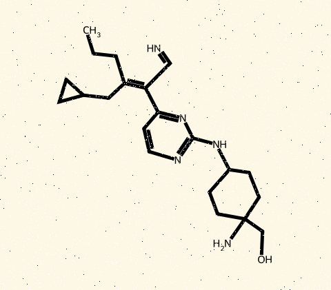 CCC/C(CC1CC1)=C(\C=N)c1ccnc(NC2CCC(N)(CO)CC2)n1